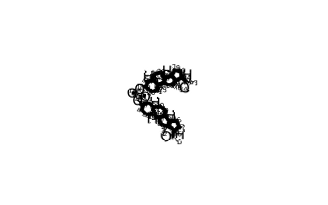 C[C@@H]1OC[C@]23CC[C@H]4[C@@H](CC[C@@H]5C[C@H](OS(=O)(=O)O[C@@H]6CC[C@@]7(C)[C@H](CC[C@H]8C9CC[C@@H]%10[C@H](C)OC[C@]9%10CC[C@@H]87)C6)CC[C@@]54C)C2CC[C@H]13